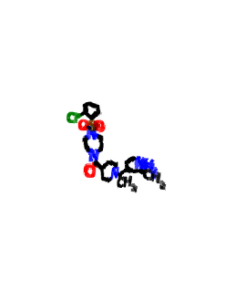 C=C(N)/C=C(\C=C/N)C(C)N1CCC(C(=O)N2CCN(S(=O)(=O)c3ccccc3Cl)CC2)CC1